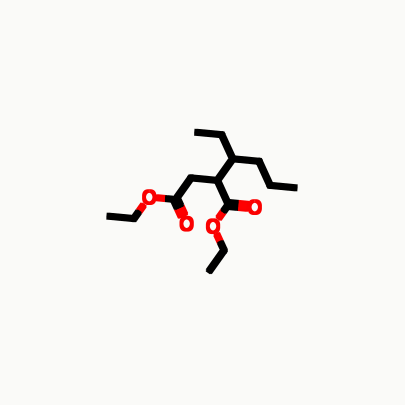 CCCC(CC)C(CC(=O)OCC)C(=O)OCC